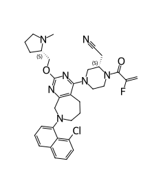 C=C(F)C(=O)N1CCN(c2nc(OC[C@@H]3CCCN3C)nc3c2CCCN(c2cccc4cccc(Cl)c24)C3)C[C@@H]1CC#N